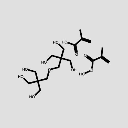 C=C(C)C(=O)O.C=C(C)C(=O)OO.OCC(CO)(CO)COCC(CO)(CO)CO